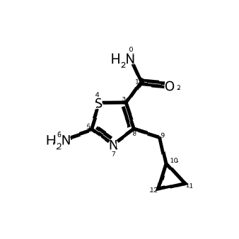 NC(=O)c1sc(N)nc1CC1CC1